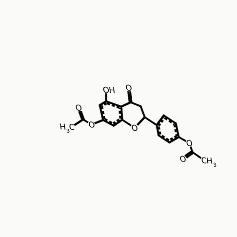 CC(=O)Oc1ccc(C2CC(=O)c3c(O)cc(OC(C)=O)cc3O2)cc1